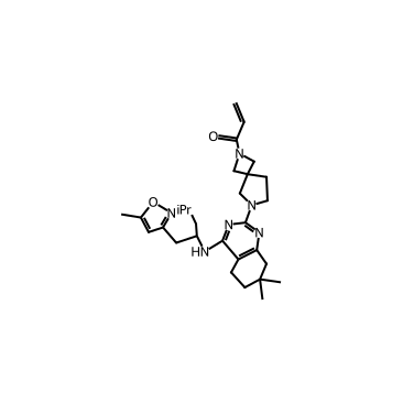 C=CC(=O)N1CC2(CCN(c3nc4c(c(NC(Cc5cc(C)on5)CC(C)C)n3)CCC(C)(C)C4)C2)C1